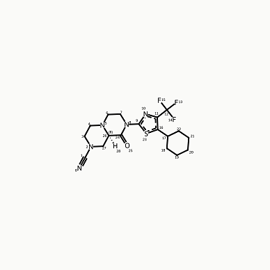 N#CN1CCN2CCN(c3nc(C(F)(F)F)c(C4CCCCC4)s3)C(=O)[C@H]2C1